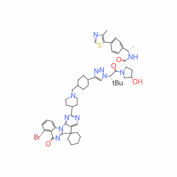 Cc1ncsc1-c1ccc([C@H](C)NC(=O)[C@@H]2C[C@@H](O)CN2C(=O)[C@@H](n2cc(C3CCC(CN4CCC(c5ncc6c(n5)-n5c(nc(=O)c7c(Br)cccc75)C65CCCCC5)CC4)CC3)nn2)C(C)(C)C)cc1